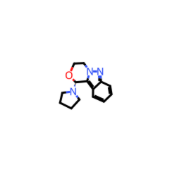 c1ccc2c3n(nc2c1)CCO[C@H]3N1CCCC1